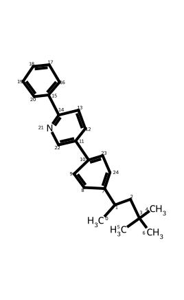 CC(CC(C)(C)C)c1ccc(-c2ccc(-c3ccccc3)nc2)cc1